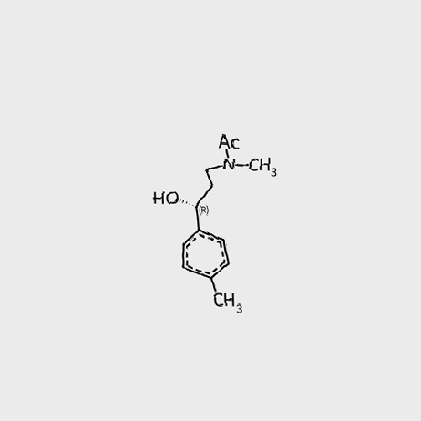 CC(=O)N(C)CC[C@@H](O)c1ccc(C)cc1